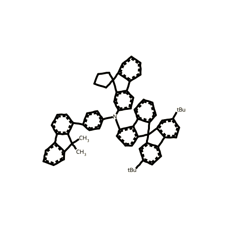 CC(C)(C)c1ccc2c(c1)C1(c3cc(C(C)(C)C)ccc3-2)c2ccccc2-c2c(N(c3ccc(-c4cccc5c4C(C)(C)c4ccccc4-5)cc3)c3ccc4c(c3)C3(CCCC3)c3ccccc3-4)cccc21